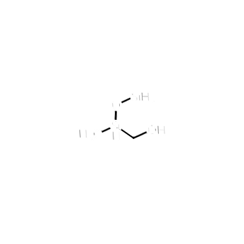 C[SiH](CO)O[SiH3]